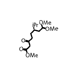 COC(=O)CC(=O)CC[C@H](CC(OC)OC)C(C)C